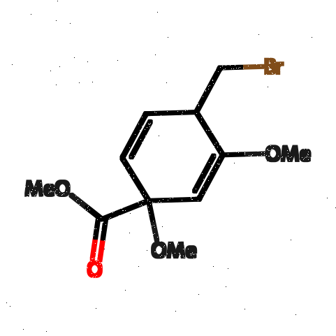 COC(=O)C1(OC)C=CC(CBr)C(OC)=C1